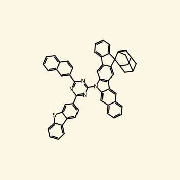 c1ccc2c(c1)-c1cc3c(cc1C21C2CC4CC(C2)CC1C4)c1cc2ccccc2cc1n3-c1nc(-c2ccc3ccccc3c2)nc(-c2ccc3c(c2)sc2ccccc23)n1